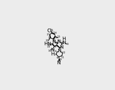 CNc1nc(N2CCC(C#N)CC2)c2c(NC)c(NC)n(-c3c(C)cc(Cl)cc3C)c2n1